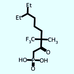 CCC(CC)CCCC(C)(C(=O)CP(=O)(O)O)C(F)(F)F